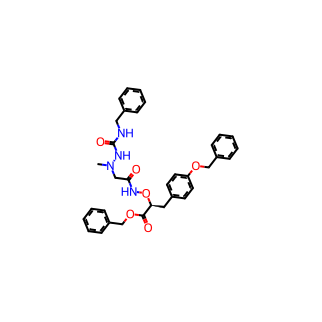 CN(CC(=O)NO[C@@H](Cc1ccc(OCc2ccccc2)cc1)C(=O)OCc1ccccc1)NC(=O)NCc1ccccc1